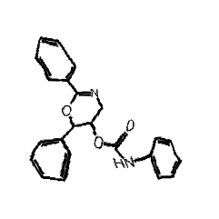 O=C(Nc1ccccc1)OC1CN=C(c2ccccc2)OC1c1ccccc1